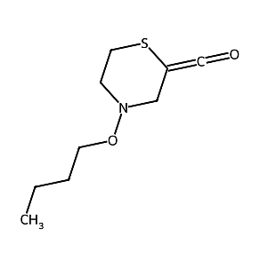 CCCCON1CCSC(=C=O)C1